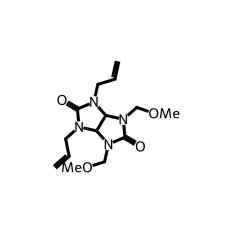 C=CCN1C(=O)N(CC=C)C2C1N(COC)C(=O)N2COC